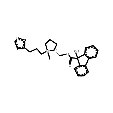 C[N+]1(CCCc2ccon2)CCC[C@@H]1COC(=O)C1(O)c2ccccc2-c2ccccc21